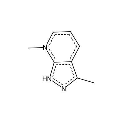 Cc1n[nH]c2c1ccc[n+]2C